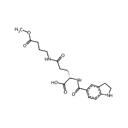 COC(=O)CCCNC(=O)CC[C@H](NC(=O)c1ccc2c(c1)CCN2)C(=O)O